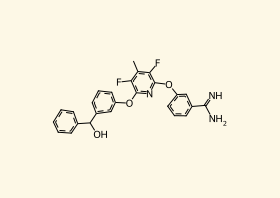 Cc1c(F)c(Oc2cccc(C(=N)N)c2)nc(Oc2cccc(C(O)c3ccccc3)c2)c1F